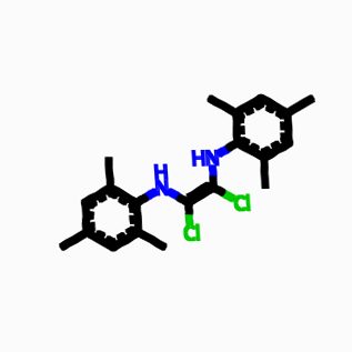 Cc1cc(C)c(N/C(Cl)=C(/Cl)Nc2c(C)cc(C)cc2C)c(C)c1